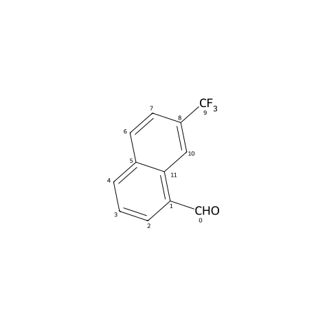 O=Cc1cccc2ccc(C(F)(F)F)cc12